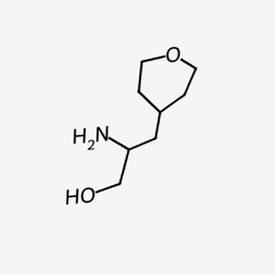 NC(CO)CC1CCOCC1